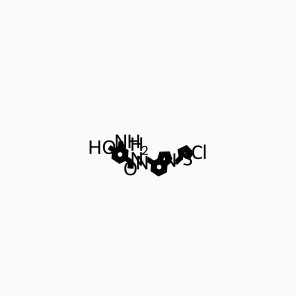 Nc1cc(C(=O)N/N=C/c2cccc3c2ccn3Cc2ccc(Cl)s2)ccc1O